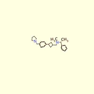 C[C@H](c1ccccc1)N(C)CC1CC(c2ccc(CN3CCCC3)cc2)C1